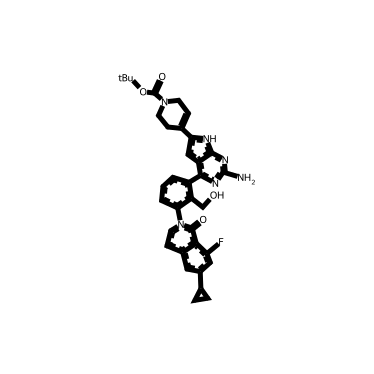 CC(C)(C)OC(=O)N1CC=C(c2cc3c(-c4cccc(-n5ccc6cc(C7CC7)cc(F)c6c5=O)c4CO)nc(N)nc3[nH]2)CC1